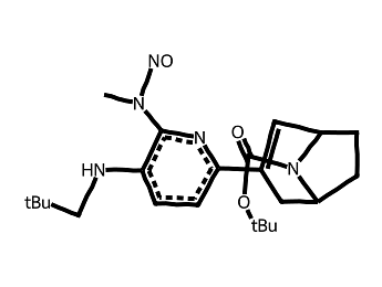 CN(N=O)c1nc(C2=CC3CCC(C2)N3C(=O)OC(C)(C)C)ccc1NCC(C)(C)C